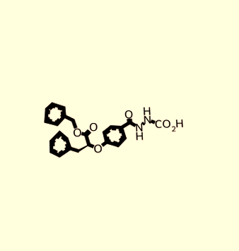 O=C(O)NNC(=O)c1ccc(O[C@@H](Cc2ccccc2)C(=O)OCc2ccccc2)cc1